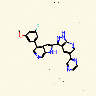 COc1cc(F)cc(-c2cncc3[nH]c(-c4n[nH]c5ncc(-c6cnccn6)cc45)cc23)c1